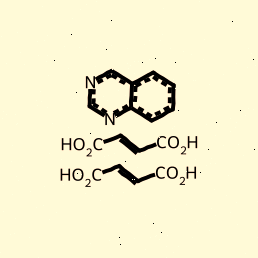 O=C(O)C=CC(=O)O.O=C(O)C=CC(=O)O.c1ccc2ncncc2c1